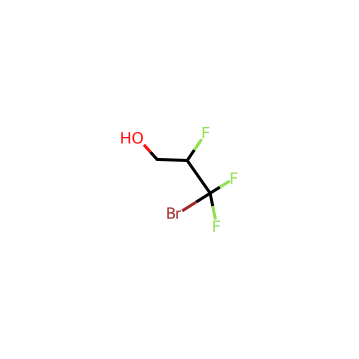 OCC(F)C(F)(F)Br